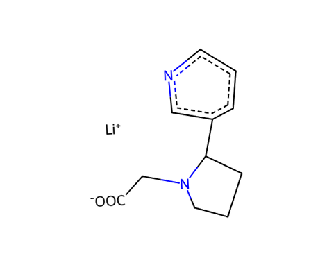 O=C([O-])CN1CCCC1c1cccnc1.[Li+]